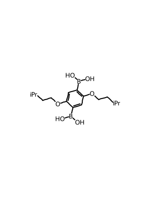 CC(C)CCOc1cc(B(O)O)c(OCCC(C)C)cc1B(O)O